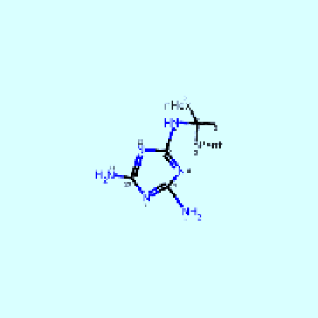 CCCCCCC(C)(CCCCC)Nc1nc(N)nc(N)n1